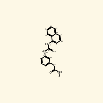 CNC(=O)Oc1cccc(NC(=S)Nc2cccc3ccccc23)c1